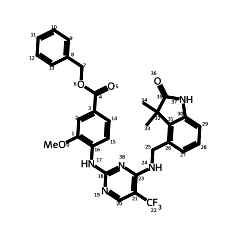 COc1cc(C(=O)OCc2ccccc2)ccc1Nc1ncc(C(F)(F)F)c(NCc2cccc3c2C(C)(C)C(=O)N3)n1